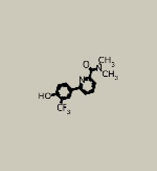 CN(C)C(=O)c1cccc(-c2ccc(O)c(C(F)(F)F)c2)n1